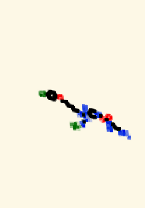 Cl.N#CN/C(=N/CCCCCCOc1ccc(Cl)cc1)Nc1cc[n+](COC(=O)NCCCN)cc1.[Cl-]